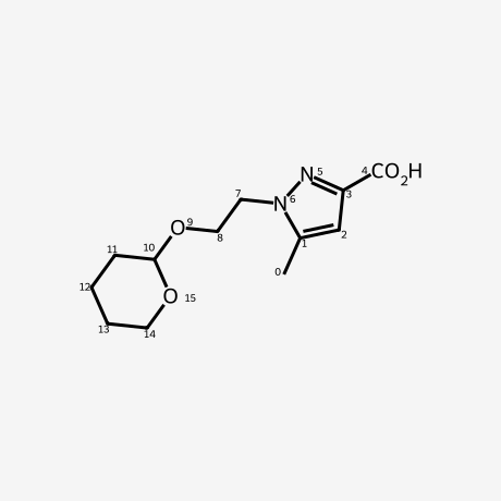 Cc1cc(C(=O)O)nn1CCOC1CCCCO1